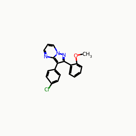 COc1ccccc1-c1nn2cccnc2c1-c1ccc(Cl)cc1